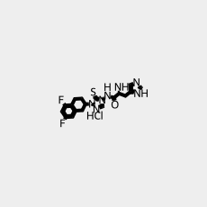 Cl.N[C@@H](Cc1cnc[nH]1)C(=O)Nn1cnn(C2CCc3c(F)cc(F)cc3C2)c1=S